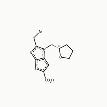 O=C(O)c1cc2c(nc(CBr)n2C[C@@H]2CCCO2)s1